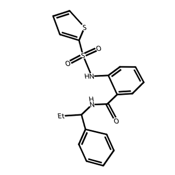 CCC(NC(=O)c1ccccc1NS(=O)(=O)c1cccs1)c1ccccc1